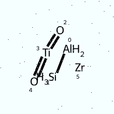 [AlH2][SiH3].[O]=[Ti]=[O].[Zr]